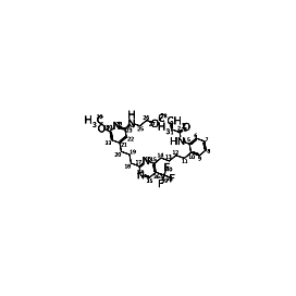 C=CC(=O)Nc1ccccc1CCCCc1nc(CCCc2cc(NCCOC)nc(OC)c2)ncc1C(F)(F)F